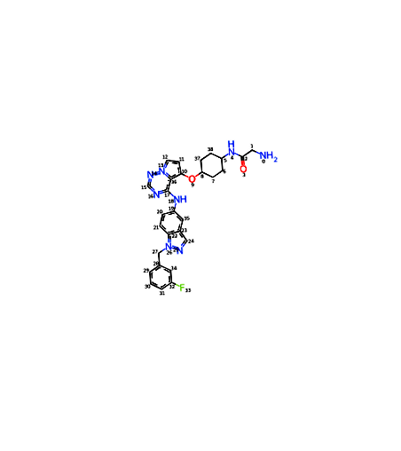 NCC(=O)NC1CCC(Oc2ccn3ncnc(Nc4ccc5c(cnn5Cc5cccc(F)c5)c4)c23)CC1